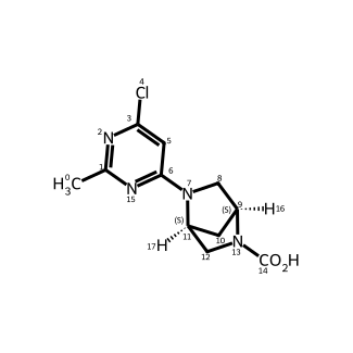 Cc1nc(Cl)cc(N2C[C@@H]3C[C@H]2CN3C(=O)O)n1